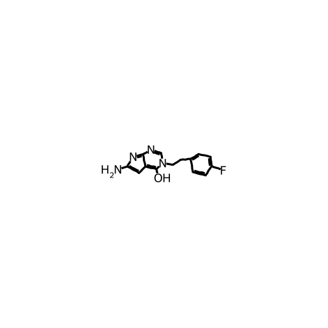 Nc1cc2c(O)n(CCc3ccc(F)cc3)cnc-2n1